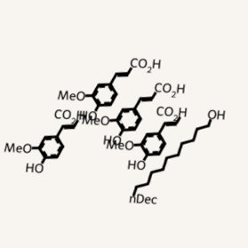 CCCCCCCCCCCCCCCCCCCCO.COc1cc(C=CC(=O)O)ccc1O.COc1cc(C=CC(=O)O)ccc1O.COc1cc(C=CC(=O)O)ccc1O.COc1cc(C=CC(=O)O)ccc1O